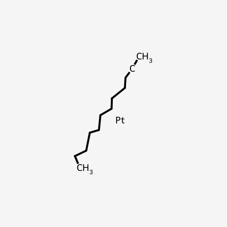 CCCCCCCCCCCC.[Pt]